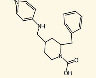 O=C(O)N1CCC(CNc2cc[n+]([O-])cc2)CC1Cc1ccccc1